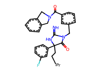 CC(C)CCC1(c2cccc(F)c2)NC(=N)N(Cc2cccc(C(=O)N3Cc4ccccc4C3)c2)C1=O